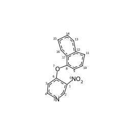 O=[N+]([O-])c1cnccc1Oc1cccc2ccccc12